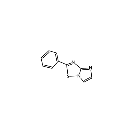 c1ccc(-c2nc3nccn3s2)cc1